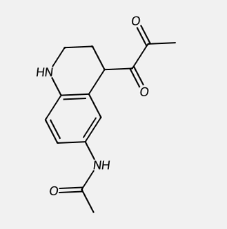 CC(=O)Nc1ccc2c(c1)C(C(=O)C(C)=O)CCN2